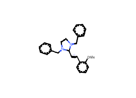 COc1ccccc1/C=C/C1N(Cc2ccccc2)CCN1Cc1ccccc1